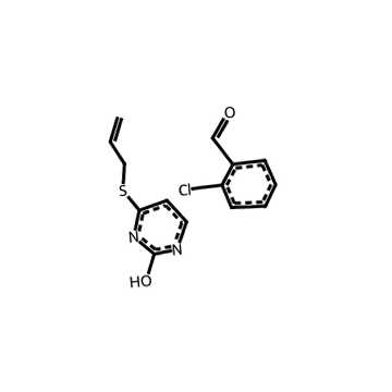 C=CCSc1ccnc(O)n1.O=Cc1ccccc1Cl